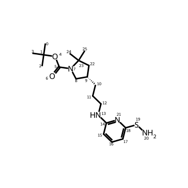 CC(C)(C)OC(=O)N1C[C@@H](CCCNc2cccc(SN)n2)CC1(C)C